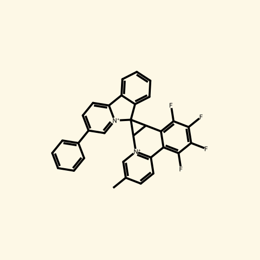 Cc1ccc2[n+](c1)C1C(c3c(F)c(F)c(F)c(F)c3-2)C12c1ccccc1-c1ccc(-c3ccccc3)c[n+]12